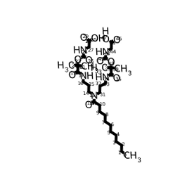 CCCCCCCCCCCC(=O)N(CCCNC(=O)C(C)(C)OC(=O)NCC(=O)O)CCCNC(=O)C(C)(C)OC(=O)NCC(=O)O